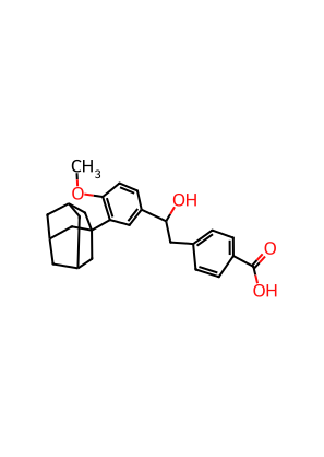 COc1ccc(C(O)Cc2ccc(C(=O)O)cc2)cc1C12CC3CC(CC(C3)C1)C2